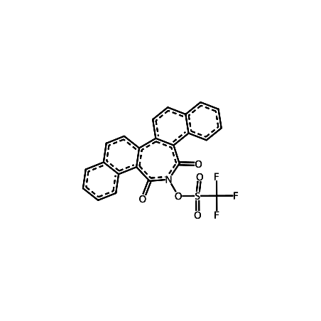 O=c1c2c3ccccc3ccc2c2ccc3ccccc3c2c(=O)n1OS(=O)(=O)C(F)(F)F